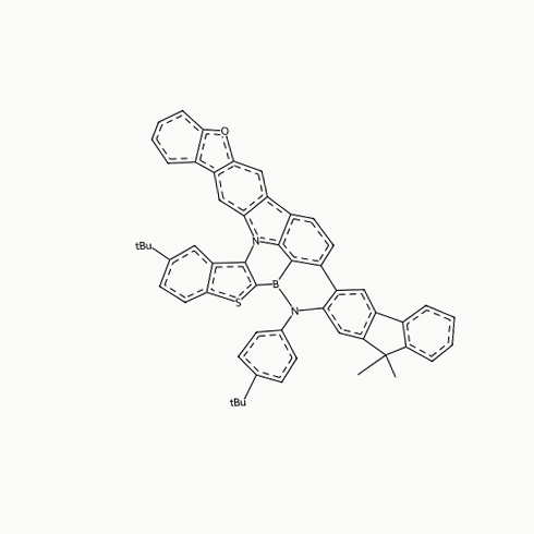 CC(C)(C)c1ccc(N2B3c4sc5ccc(C(C)(C)C)cc5c4-n4c5cc6c(cc5c5ccc(c3c54)-c3cc4c(cc32)C(C)(C)c2ccccc2-4)oc2ccccc26)cc1